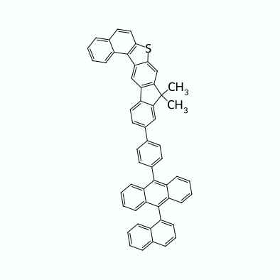 CC1(C)c2cc(-c3ccc(-c4c5ccccc5c(-c5cccc6ccccc56)c5ccccc45)cc3)ccc2-c2cc3c(cc21)sc1ccc2ccccc2c13